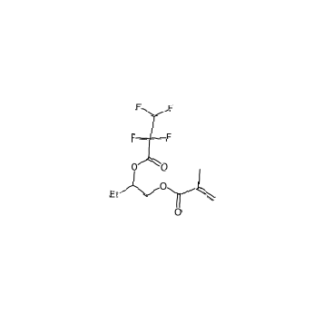 C=C(C)C(=O)OCC(CC)OC(=O)C(F)(F)C(F)F